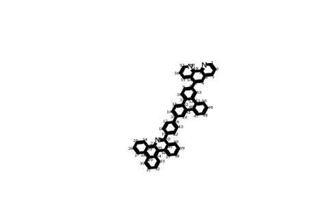 c1cnc2c(c1)cc(-c1ccc3c4ccc(-c5ccc(-c6nc7c8ccccc8c8ccccc8c7c7ccccc67)cc5)cc4c4ccccc4c3c1)c1cccnc12